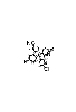 [C-]#[N+]c1ccc(C2(c3ccc(C#N)cc3)c3ccc(Cl)nc3-c3nc(Cl)ccc32)cc1